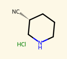 Cl.N#C[C@@H]1CCCNC1